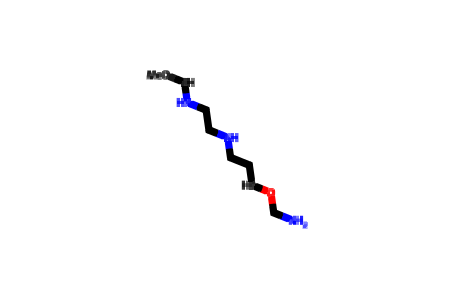 COBNCCNCCBOCN